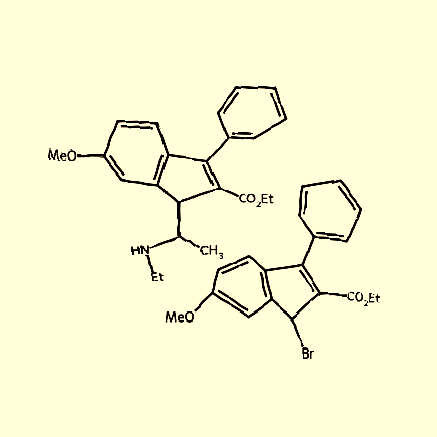 CCNC(C)C1C(C(=O)OCC)=C(c2ccccc2)c2ccc(OC)cc21.CCOC(=O)C1=C(c2ccccc2)c2ccc(OC)cc2C1Br